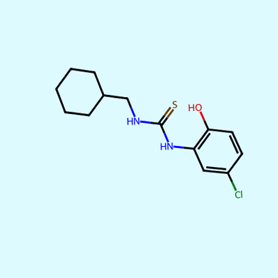 Oc1ccc(Cl)cc1NC(=S)NCC1CCCCC1